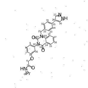 CC(C)NC(=O)COc1cccc(-n2c(=O)c3ccccc3n(Cc3ccc(-c4cn[nH]c4)cc3)c2=O)c1